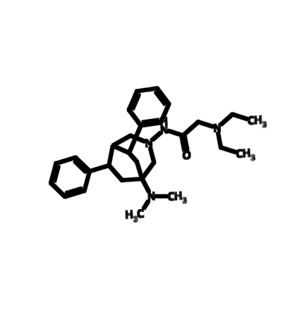 CCN(CC)CC(=O)NN1CC2C(c3ccccc3)CC(N(C)C)(CC2c2ccccc2)C1